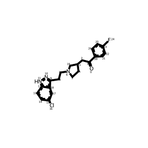 O=C(CC1CCN(CCc2n[nH]c3ccc(Cl)cc23)C1)c1ccc(F)cc1